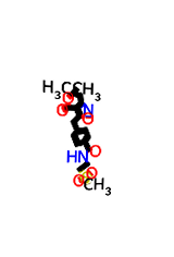 CC1(C)Cc2noc(Cc3ccc(C(=O)NCCS(C)(=O)=O)cc3)c2C(=O)O1